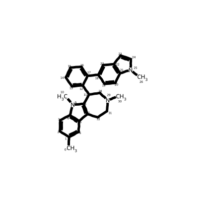 Cc1ccc2c(c1)c1c(n2C)C(c2ccccc2-c2ccc3c(ccn3C)c2)CN(C)CC1